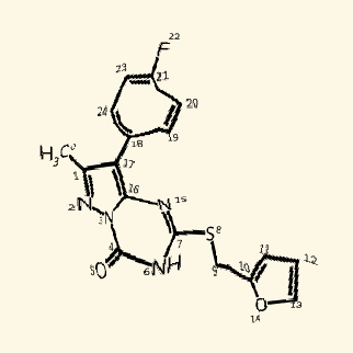 Cc1nn2c(=O)[nH]c(SCc3ccco3)nc2c1-c1ccc(F)cc1